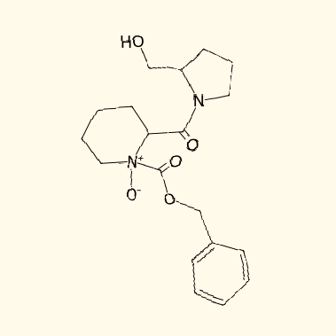 O=C(C1CCCC[N+]1([O-])C(=O)OCc1ccccc1)N1CCCC1CO